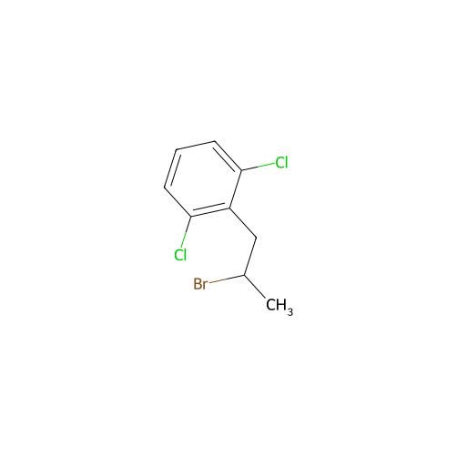 CC(Br)Cc1c(Cl)cccc1Cl